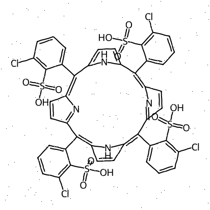 O=S(=O)(O)c1c(Cl)cccc1-c1c2nc(c(-c3cccc(Cl)c3S(=O)(=O)O)c3ccc([nH]3)c(-c3cccc(Cl)c3S(=O)(=O)O)c3nc(c(-c4cccc(Cl)c4S(=O)(=O)O)c4ccc1[nH]4)C=C3)C=C2